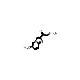 CCOC(=O)CC(=O)c1cn2cc(C)ccc2n1